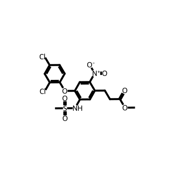 COC(=O)CCc1cc(NS(C)(=O)=O)c(Oc2ccc(Cl)cc2Cl)cc1[N+](=O)[O-]